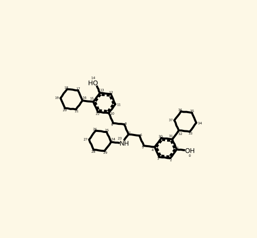 Oc1ccc(CCC(CCc2ccc(O)c(C3CCCCC3)c2)NC2CCCCC2)cc1C1CCCCC1